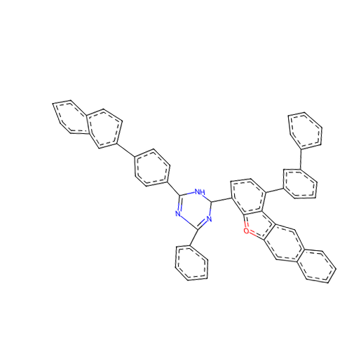 c1ccc(C2=NC(c3ccc(-c4cccc(-c5ccccc5)c4)c4c3oc3cc5ccccc5cc34)NC(c3ccc(-c4ccc5ccccc5c4)cc3)=N2)cc1